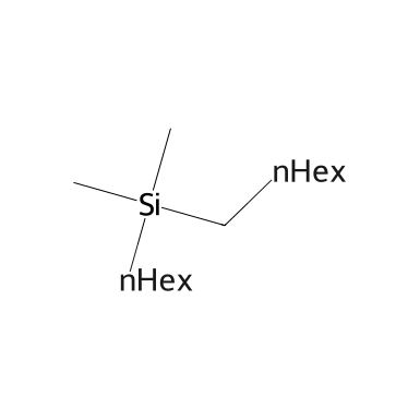 CCCCCCC[Si](C)(C)CCCCCC